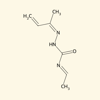 C=C/C(C)=N\NC(=O)/N=C/C